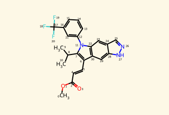 COC(=O)/C=C/c1c(C(C)C)n(-c2cccc(C(F)(F)F)c2)c2cc3cn[nH]c3cc12